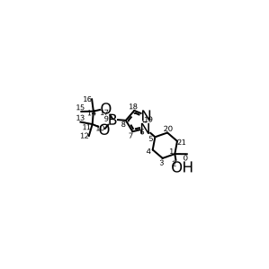 CC1(O)CCC(n2cc(B3OC(C)(C)C(C)(C)O3)cn2)CC1